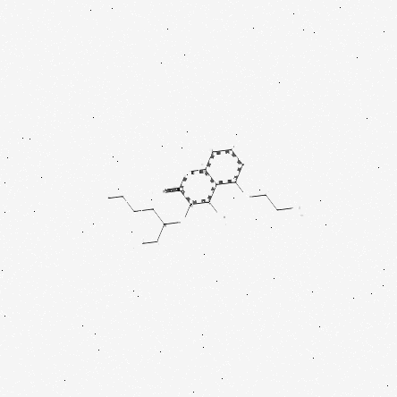 CCCCC(CC)Oc1c(O)c2c(OCCO)cccc2oc1=O